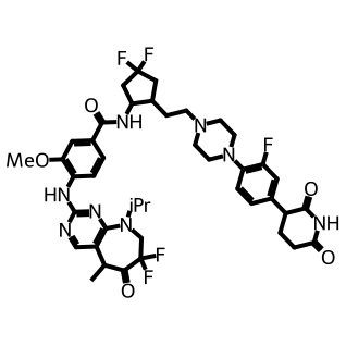 COc1cc(C(=O)NC2CC(F)(F)CC2CCN2CCN(c3ccc(C4CCC(=O)NC4=O)cc3F)CC2)ccc1Nc1ncc2c(n1)N(C(C)C)CC(F)(F)C(=O)C2C